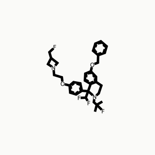 CC(C)(F)CN1CCc2cc(OCc3ccccc3)ccc2C1(c1ccc(OCCN2CC(CF)C2)cc1)C(F)F